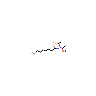 CCCCCCCCCCCCCCCCC(O)CN(C(C)O)C(C)O